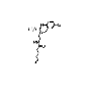 C=CCCCC(=O)NCCN1Cc2cc(Br)ccc2N=C1N